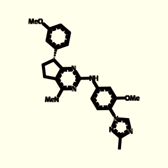 CNc1nc(Nc2ccc(-n3cnc(C)n3)c(OC)c2)nc2c1CC[C@@H]2c1cccc(OC)c1